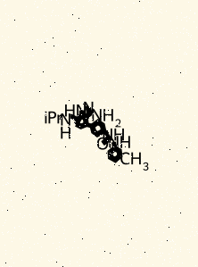 Cc1cccc(NC(=O)Nc2ccc(-c3ccc(CNC(C)C)c4[nH]nc(N)c34)cc2)c1